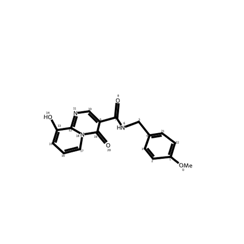 COc1ccc(CNC(=O)c2cnc3c(O)cccn3c2=O)cc1